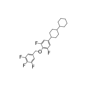 Fc1cc(COc2c(F)cc(C3CCC(C4CCCCC4)CC3)cc2F)cc(F)c1F